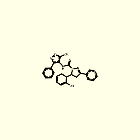 Cc1onc(-c2ccccc2)c1NC(=O)N1N=C(c2cccnc2)CC1C1CC=CC=C1O